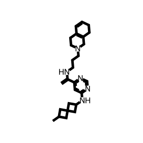 C=C(NCCCN1CCC2=C(CCC=C2)C1)c1cc(NC2CC3(CC(C)C3)C2)ncn1